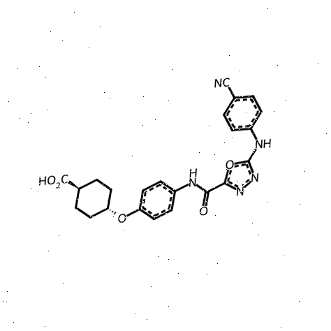 N#Cc1ccc(Nc2nnc(C(=O)Nc3ccc(O[C@H]4CC[C@H](C(=O)O)CC4)cc3)o2)cc1